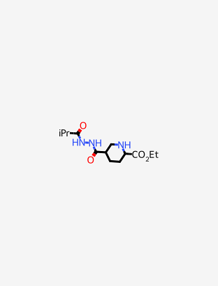 CCOC(=O)C1CCC(C(=O)NNC(=O)C(C)C)CN1